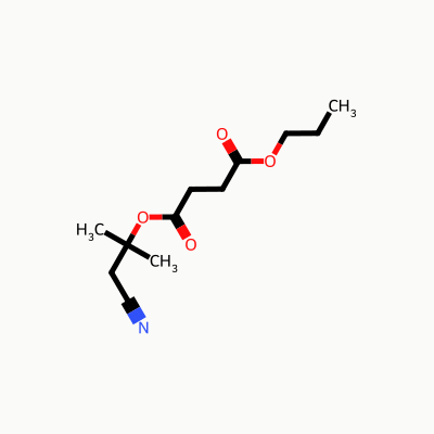 CCCOC(=O)CCC(=O)OC(C)(C)CC#N